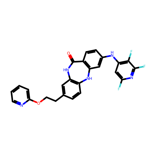 O=C1Nc2cc(CCOc3ccccn3)ccc2Nc2cc(Nc3cc(F)nc(F)c3F)ccc21